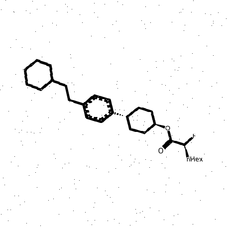 CCCCCC[C@H](F)C(=O)O[C@H]1CC[C@H](c2ccc(CCC3CC[CH]CC3)cc2)CC1